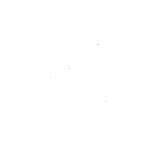 O=C(O)c1nn(CCO)c2c1CCc1cncnc1-2